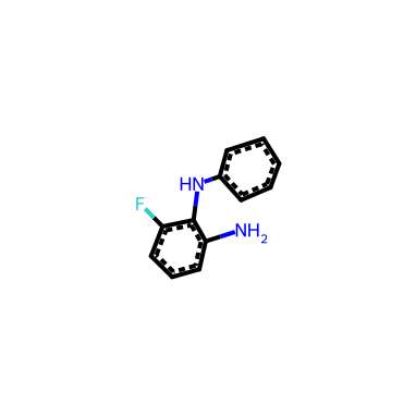 Nc1cccc(F)c1Nc1ccccc1